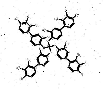 Cc1cc(-c2ccc(O)c(C)c2C)ccc1OC(Oc1ccc(-c2ccc(O)c(C)c2C)cc1C)(Oc1ccc(-c2ccc(O)c(C)c2C)cc1C)Oc1ccc(-c2ccc(O)c(C)c2C)cc1C